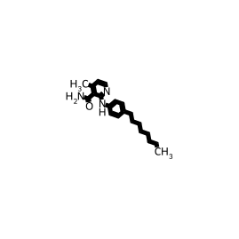 CCCCCCCCc1ccc(Nc2nccc(C)c2C(N)=O)cc1